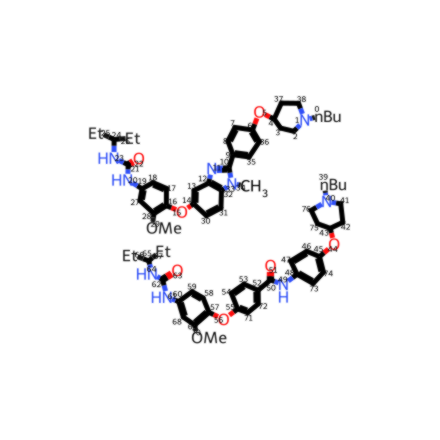 CCCCN1CCC(Oc2ccc(-c3nc4cc(Oc5ccc(NC(=O)NC(CC)CC)cc5OC)ccc4n3C)cc2)CC1.CCCCN1CCC(Oc2ccc(NC(=O)c3ccc(Oc4ccc(NC(=O)NC(CC)CC)cc4OC)cc3)cc2)CC1